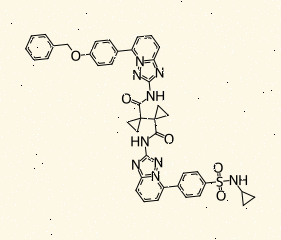 O=C(Nc1nc2cccc(-c3ccc(OCc4ccccc4)cc3)n2n1)C1(C2(C(=O)Nc3nc4cccc(-c5ccc(S(=O)(=O)NC6CC6)cc5)n4n3)CC2)CC1